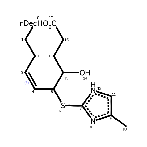 CCCCCCCCCCCC/C=C\C(Sc1nc(C)c[nH]1)C(O)CCC(=O)O